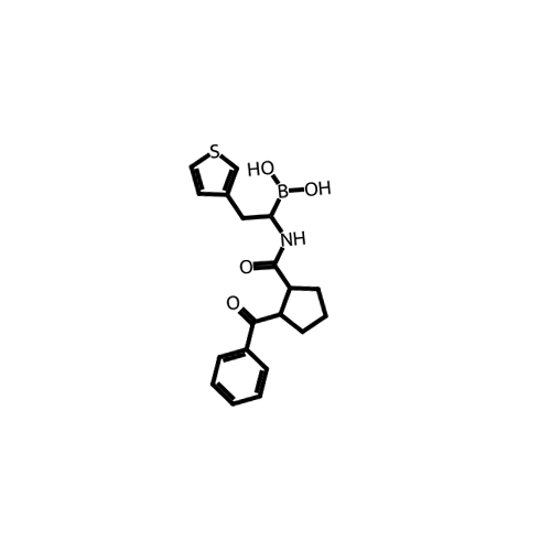 O=C(NC(Cc1ccsc1)B(O)O)C1CCCC1C(=O)c1ccccc1